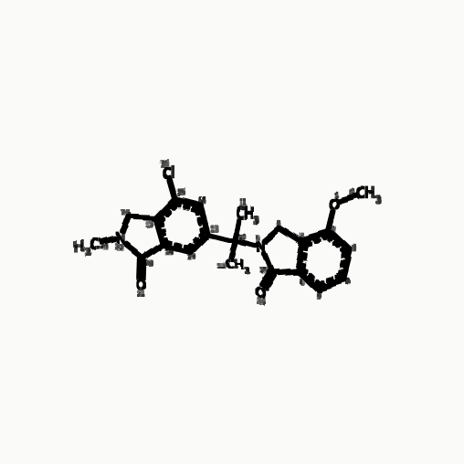 COc1cccc2c1CN(C(C)(C)c1cc(Cl)c3c(c1)C(=O)N(C)C3)C2=O